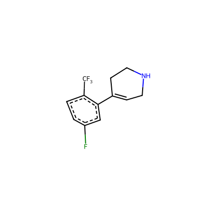 Fc1ccc(C(F)(F)F)c(C2=CCNCC2)c1